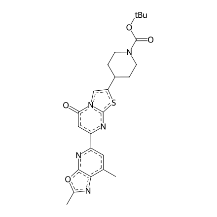 Cc1nc2c(C)cc(-c3cc(=O)n4cc(C5CCN(C(=O)OC(C)(C)C)CC5)sc4n3)nc2o1